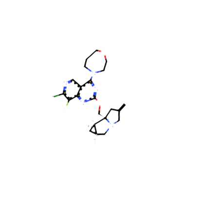 C=C1CN2C[C@H]3C[C@H]3[C@]2(COc2nc(N3CCCOCC3)c3cnc(Cl)c(F)c3n2)C1